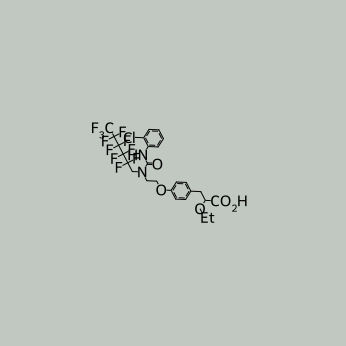 CCOC(Cc1ccc(OCCN(CC(F)(F)C(F)(F)C(F)(F)C(F)(F)C(F)(F)F)C(=O)Nc2ccccc2Cl)cc1)C(=O)O